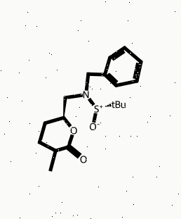 CC1CC[C@@H](CN(Cc2ccccc2)[S@@+]([O-])C(C)(C)C)OC1=O